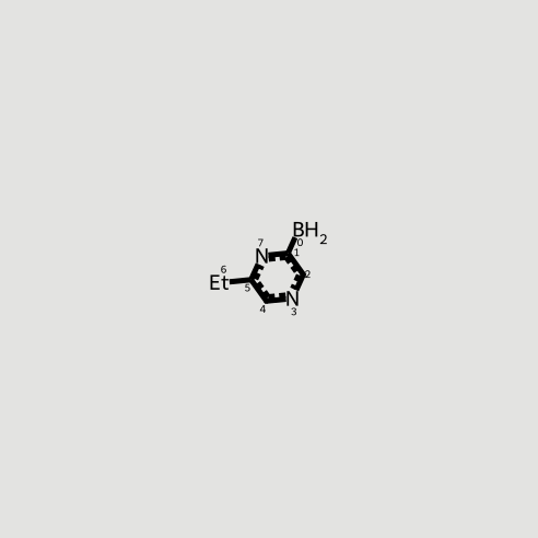 Bc1cncc(CC)n1